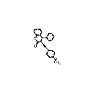 COc1ccc(C#Cc2c(-c3ccccc3)c3ccccc3oc2=O)cc1